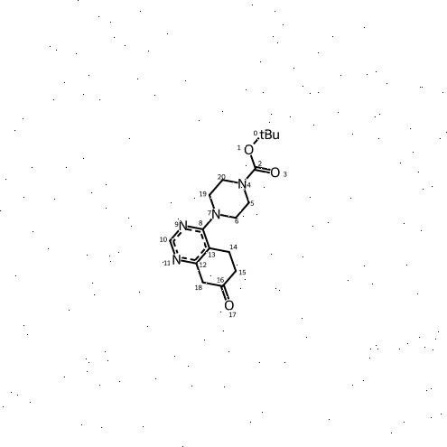 CC(C)(C)OC(=O)N1CCN(c2ncnc3c2CCC(=O)C3)CC1